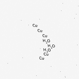 O.O.O.[Cu].[Cu].[Cu].[Cu].[Cu]